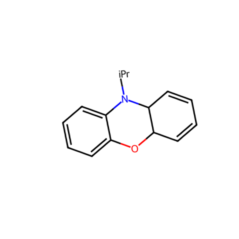 CC(C)N1c2ccccc2OC2C=CC=CC21